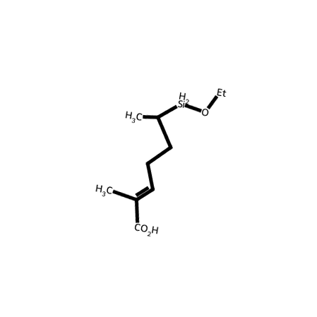 CCO[SiH2]C(C)CCC=C(C)C(=O)O